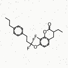 CCCc1ccc(CCC(F)(F)Oc2ccc3c(c2F)OC(=O)C(CC)C3)cc1